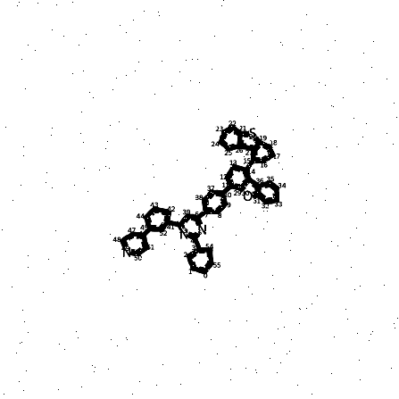 c1ccc(-c2nc(-c3ccc(-c4ccc(-c5cccc6sc7ccccc7c56)c5c4oc4ccccc45)cc3)cc(-c3cccc(-c4ccncc4)c3)n2)cc1